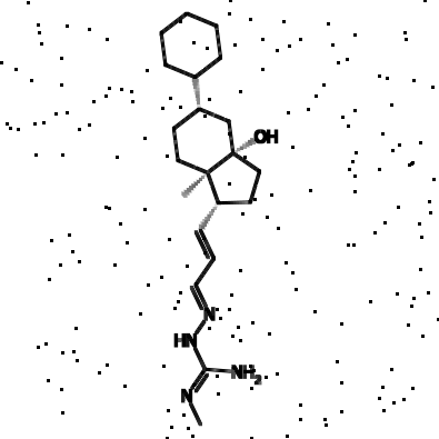 C/N=C(\N)N/N=C/C=C/[C@H]1CC[C@]2(O)C[C@@H](C3CCCCC3)CC[C@]12C